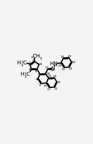 CC1=C(C)C(C)=C(c2ccc3ccccc3c2/C=N/Nc2ccccc2)C1